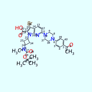 CC(=O)c1ccc(N2CCN(c3ccc4c(Br)c(C(=O)O)n(C5CC(N(C)C(=O)OC(C)(C)C)C5)c4n3)CC2)cc1